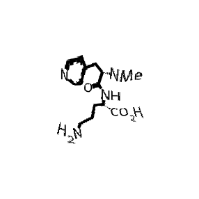 CN[C@@H](Cc1ccncc1)C(=O)N[C@@H](CCCN)C(=O)O